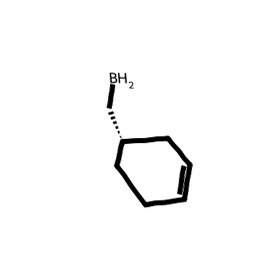 BC[C@@H]1CC=CCC1